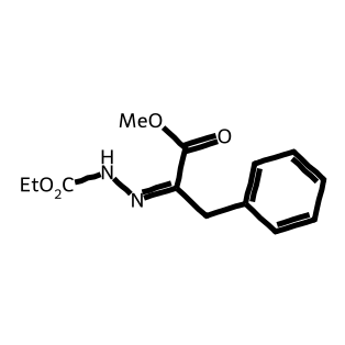 CCOC(=O)N/N=C(/Cc1ccccc1)C(=O)OC